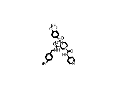 CC(C)c1ccc(CNC(=O)[C@H]2CN(C(=O)Nc3ccncc3)CCN2S(=O)(=O)c2ccc(OC(F)(F)F)cc2)cc1